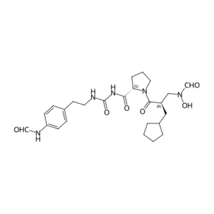 O=CNc1ccc(CCNC(=O)NC(=O)[C@@H]2CCCN2C(=O)[C@H](CC2CCCC2)CN(O)C=O)cc1